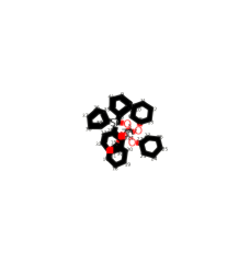 c1ccc([Si]([O][Zr]([O]C2CCCCC2)([O]C2CCCCC2)[O]C2CCCCC2)(c2ccccc2)c2ccccc2)cc1